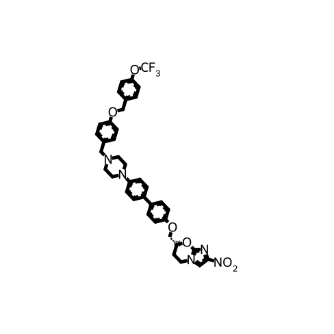 O=[N+]([O-])c1cn2c(n1)O[C@@H](COc1ccc(-c3ccc(N4CCN(Cc5ccc(OCc6ccc(OC(F)(F)F)cc6)cc5)CC4)cc3)cc1)CC2